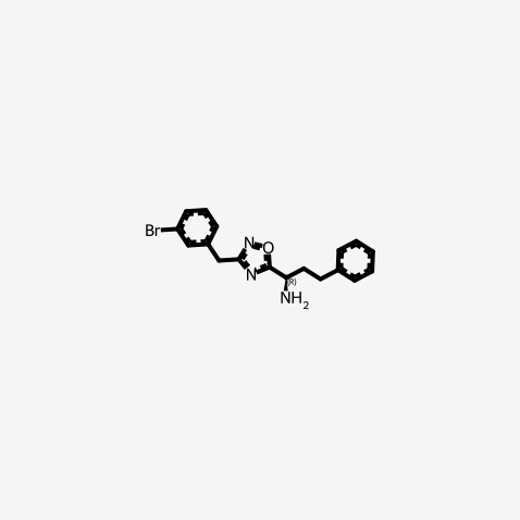 N[C@H](CCc1ccccc1)c1nc(Cc2cccc(Br)c2)no1